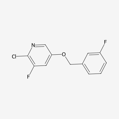 Fc1cccc(COc2cnc(Cl)c(F)c2)c1